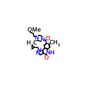 COCCCN1CCN(C(=O)c2cc3c(cc2C)[nH]c(=O)c2cnn(CC4CC4)c23)C[C@@H]1C